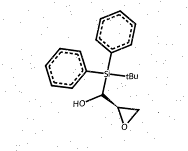 CC(C)(C)[Si](c1ccccc1)(c1ccccc1)C(O)[C@H]1CO1